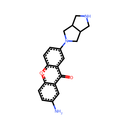 Nc1ccc2oc3ccc(N4CC5CNCC5C4)cc3c(=O)c2c1